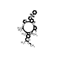 CCOC(=O)C(C)Cc1cccc(C2(C)CCC(C)(C)COc3ccnn3Cc3c(c(F)cc4c3ccn4S(=O)(=O)c3ccccc3)Oc3ccc(F)c(c3)-c3nc2nn3C)c1